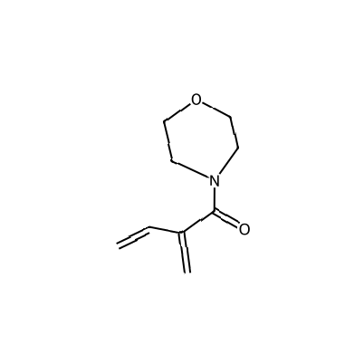 C=CC(=C)C(=O)N1CCOCC1